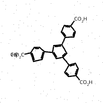 O=C(O)c1ccc(-c2cc(-c3ccc(C(=O)O)cc3)cc(-c3ccc(C(=O)O)cc3)c2)cc1.[Cd].[Y]